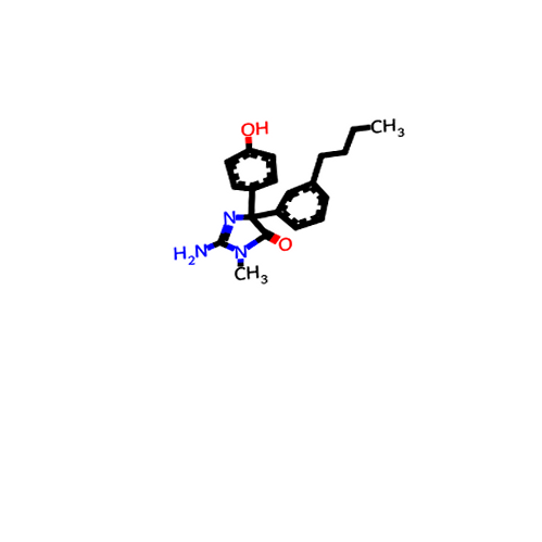 CCCCc1cccc(C2(c3ccc(O)cc3)N=C(N)N(C)C2=O)c1